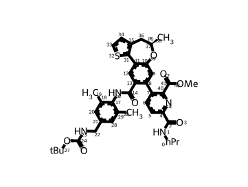 CCCNC(=O)c1ccc(-c2cc3c(cc2C(=O)Nc2c(C)cc(CNC(=O)OC(C)(C)C)cc2C)-c2sccc2C[C@@H](C)O3)c(C(=O)OC)n1